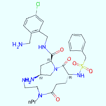 CCCN(CCN)C(=O)CC[C@@H](NS(=O)(=O)Cc1ccccc1)C(=O)N1C[C@@H](N)C[C@H]1C(=O)NCc1cc(Cl)ccc1CN